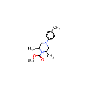 Cc1ccc(N2CC(C)N(C(=O)OC(C)(C)C)C(C)C2)cc1